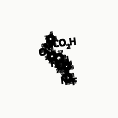 CN(CC1(C(=O)O)CCCC1)C(=O)c1ccc2c(c1)CC[C@@H]1[C@@H]2CC[C@]2(C)C(c3cncc(F)c3)=CC[C@@H]12